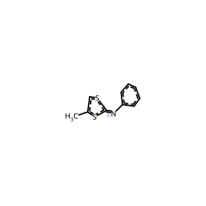 Cc1cs/c(=N\c2ccccc2)s1